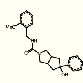 COc1ccccc1CNC(=O)N1CC2CC(O)(c3ccccc3)CC2C1